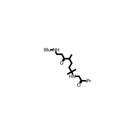 CC(C)C(=O)CNC(C)(C)CCC(C)C(=O)CCNC(C)(C)C